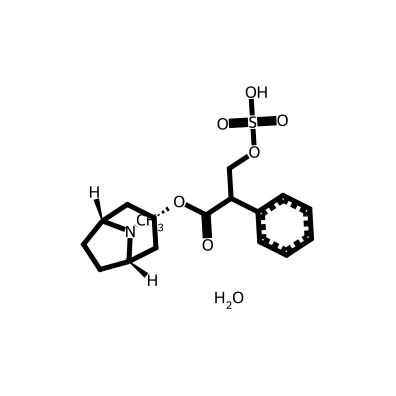 CN1[C@@H]2CC[C@H]1C[C@@H](OC(=O)C(COS(=O)(=O)O)c1ccccc1)C2.O